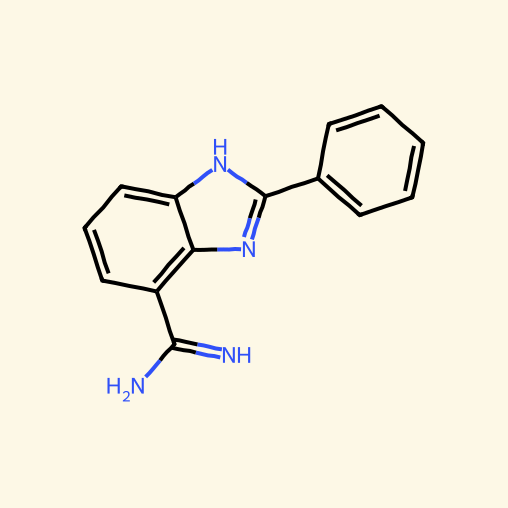 N=C(N)c1cccc2[nH]c(-c3ccccc3)nc12